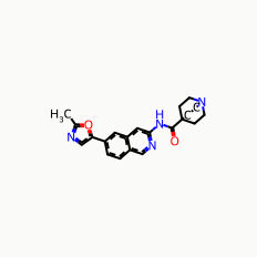 Cc1ncc(-c2ccc3cnc(NC(=O)C45CCN(CC4)CC5)cc3c2)o1